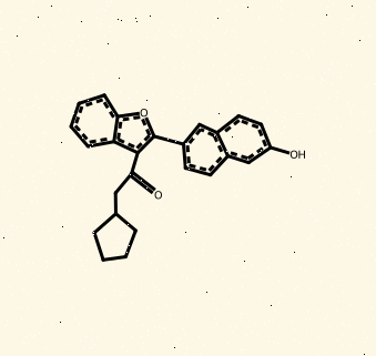 O=C(CC1CCCC1)c1c(-c2ccc3cc(O)ccc3c2)oc2ccccc12